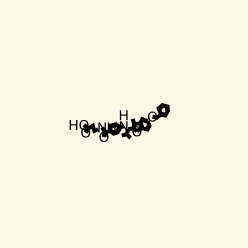 CC(C)C(Nc1ccc(C(=O)NCCC(=O)O)cc1)C1Oc2ccc(OCc3ccccc3)cc2C1C